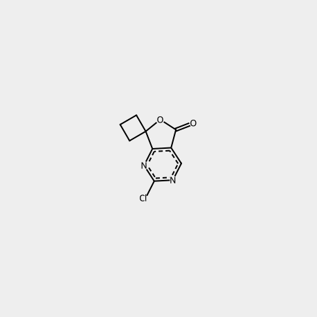 O=C1OC2(CCC2)c2nc(Cl)ncc21